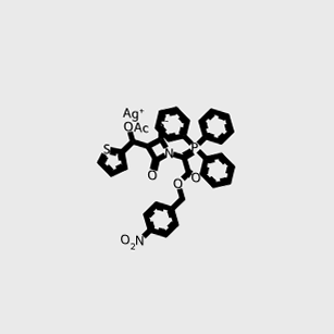 CC(=O)OC(c1cccs1)C1C(=O)N(C(C(=O)OCc2ccc([N+](=O)[O-])cc2)=P(c2ccccc2)(c2ccccc2)c2ccccc2)C1[S-].[Ag+]